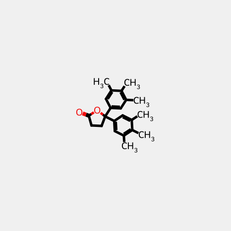 Cc1cc(C2(c3cc(C)c(C)c(C)c3)CCC(=O)O2)cc(C)c1C